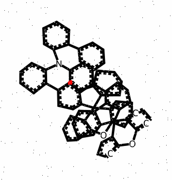 c1ccc(-c2ccccc2N(c2ccc(-c3cccc4c3-c3ccccc3C43c4ccccc4Oc4ccccc43)cc2)c2ccccc2-c2ccc3c(c2)-c2ccccc2C32c3ccccc3Oc3ccccc32)cc1